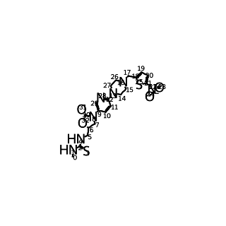 CNC(=S)NCC1CN(c2ccc(N3CCN(Cc4ccc([N+](=O)[O-])s4)CC3)nc2)C(=O)O1